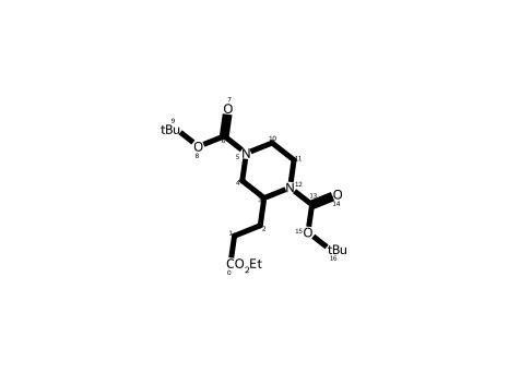 CCOC(=O)CCC1CN(C(=O)OC(C)(C)C)CCN1C(=O)OC(C)(C)C